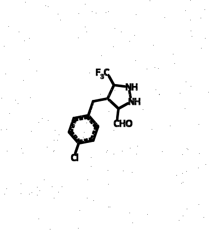 O=CC1NNC(C(F)(F)F)C1Cc1ccc(Cl)cc1